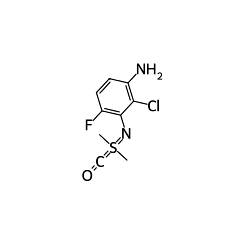 CS(C)(=C=O)=Nc1c(F)ccc(N)c1Cl